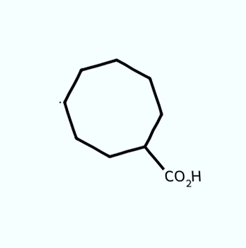 O=C(O)C1CC[CH]CCCC1